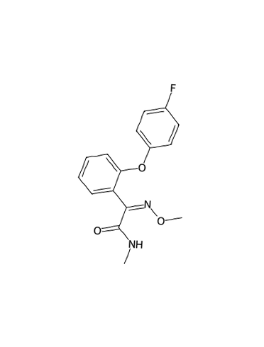 CNC(=O)/C(=N\OC)c1ccccc1Oc1ccc(F)cc1